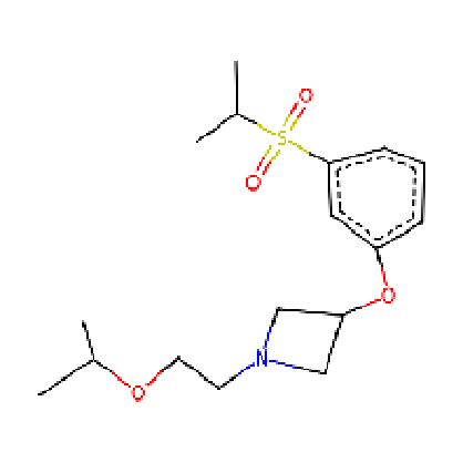 CC(C)OCCN1CC(Oc2cccc(S(=O)(=O)C(C)C)c2)C1